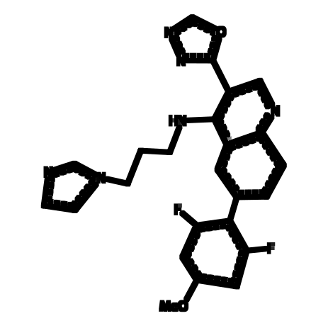 COc1cc(F)c(-c2ccc3ncc(-c4nnco4)c(NCCCn4ccnc4)c3c2)c(F)c1